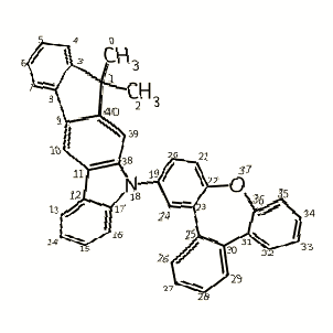 CC1(C)c2ccccc2-c2cc3c4ccccc4n(-c4ccc5c(c4)-c4ccccc4-c4ccccc4O5)c3cc21